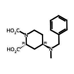 CN(Cc1ccccc1)[C@@H]1CCN(C(=O)O)[C@@H](C(=O)O)C1